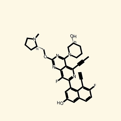 C#Cc1c(F)ccc2cc(O)cc(-c3nc(C#CC)c4c(N5CCC[C@@H](O)C5)nc(OC[C@@H]5CCCN5C)nc4c3F)c12